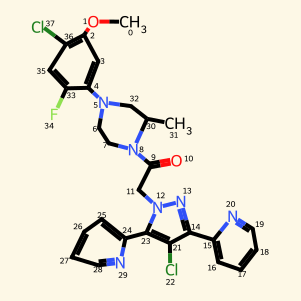 COc1cc(N2CCN(C(=O)Cn3nc(-c4ccccn4)c(Cl)c3-c3ccccn3)C(C)C2)c(F)cc1Cl